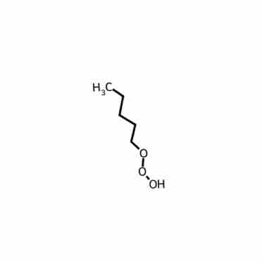 CCCCCOOO